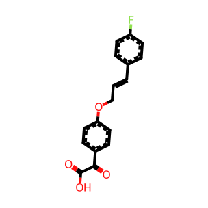 O=C(O)C(=O)c1ccc(OCC=Cc2ccc(F)cc2)cc1